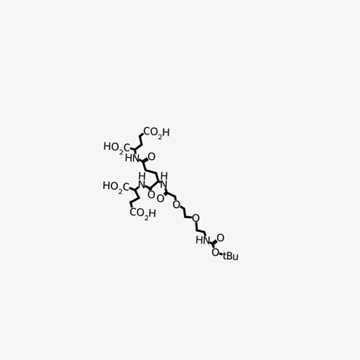 CC(C)(C)OC(=O)NCCOCCOCC(=O)NC(CCC(=O)NC(CCC(=O)O)C(=O)O)C(=O)NC(CCC(=O)O)C(=O)O